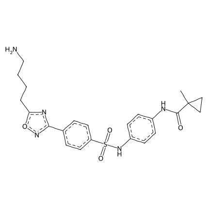 CC1(C(=O)Nc2ccc(NS(=O)(=O)c3ccc(-c4noc(CCCCN)n4)cc3)cc2)CC1